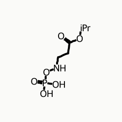 CC(C)OC(=O)CCNOP(=O)(O)O